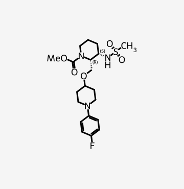 COC(=O)N1CCC[C@H](NS(C)(=O)=O)[C@@H]1COC1CCN(c2ccc(F)cc2)CC1